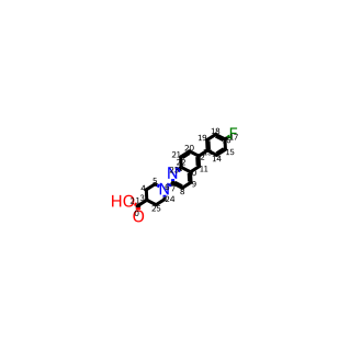 O=C(O)C1CCN(c2ccc3cc(-c4ccc(F)cc4)ccc3n2)CC1